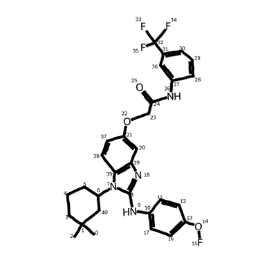 CC1(C)CCCC(n2c(Nc3ccc(OF)cc3)nc3cc(OCC(=O)Nc4cccc(C(F)(F)F)c4)ccc32)C1